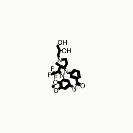 CN(C(=O)c1cccc(-n2nc(C(F)(F)F)c3c2CCN(C[C@H](O)CO)C3)c1)c1ccc2c(c1)OCO2